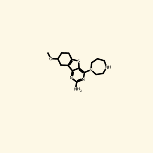 COC1CCc2sc3c(N4CCCNCC4)nc(N)nc3c2C1